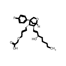 CCCCC[C@H](O)/C=C/[C@@H]1[C@@H]2C[C@@](c3ccc(F)cc3)(CO2)[C@H]1C/C=C/COCC(=O)O